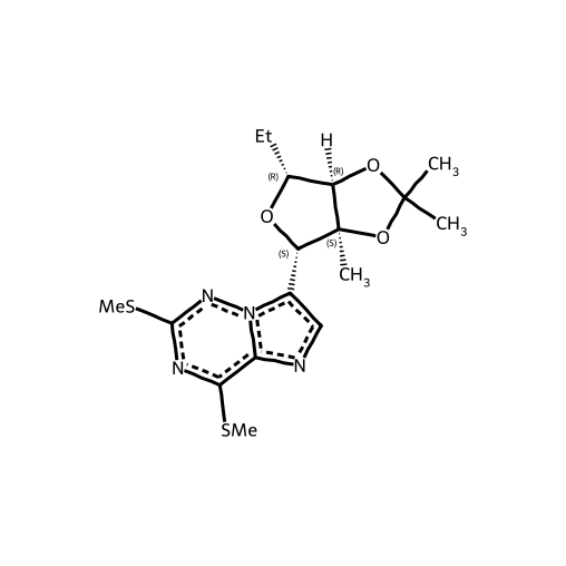 CC[C@H]1O[C@@H](c2cnc3c(SC)nc(SC)nn23)[C@]2(C)OC(C)(C)O[C@H]12